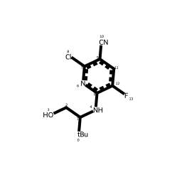 CC(C)(C)C(CO)Nc1nc(Cl)c(C#N)cc1F